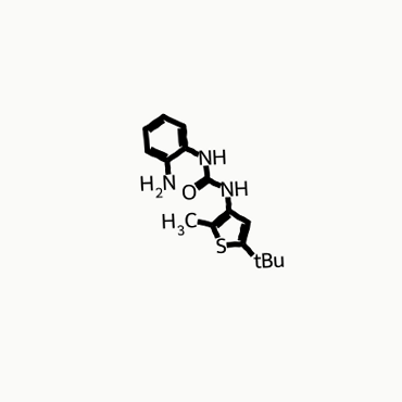 Cc1sc(C(C)(C)C)cc1NC(=O)Nc1ccccc1N